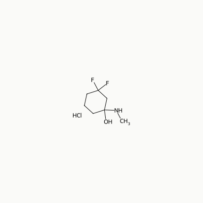 CNC1(O)CCCC(F)(F)C1.Cl